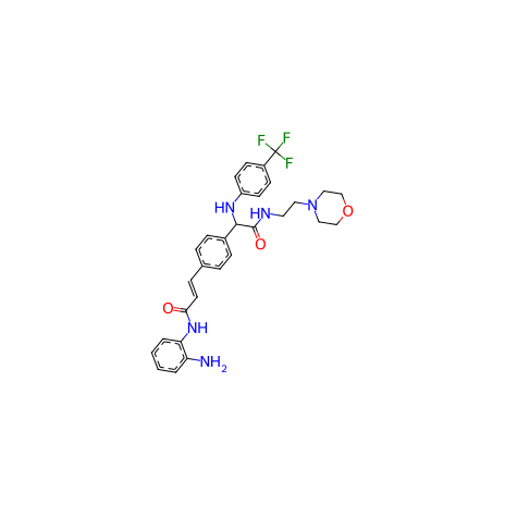 Nc1ccccc1NC(=O)C=Cc1ccc(C(Nc2ccc(C(F)(F)F)cc2)C(=O)NCCN2CCOCC2)cc1